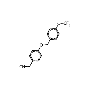 [C-]#[N+]Cc1ccc(OCc2ccc(OC(F)(F)F)cc2)cc1